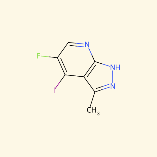 Cc1n[nH]c2ncc(F)c(I)c12